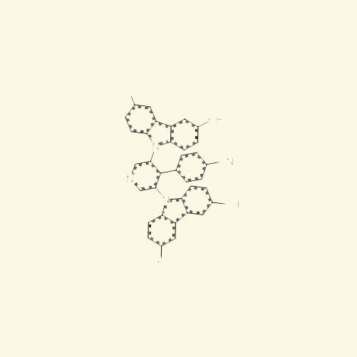 Cc1ccc2c(c1)c1cc(C)ccc1n2-c1cncc(-n2c3ccc(C)cc3c3cc(C)ccc32)c1-c1ccc(C#N)cc1